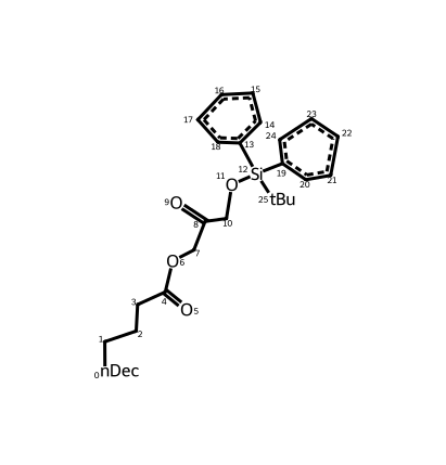 CCCCCCCCCCCCCC(=O)OCC(=O)CO[Si](c1ccccc1)(c1ccccc1)C(C)(C)C